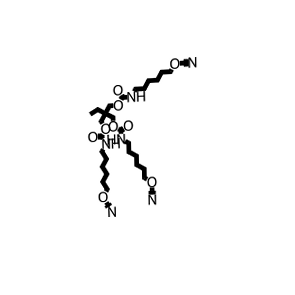 CCC(COC(=O)NCCCCCCOC#N)(COC(=O)NCCCCCCOC#N)COC(=O)NCCCCCCOC#N